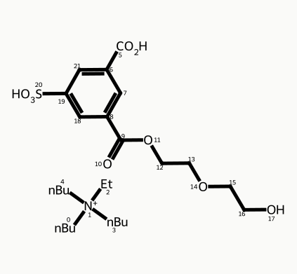 CCCC[N+](CC)(CCCC)CCCC.O=C(O)c1cc(C(=O)OCCOCCO)cc(S(=O)(=O)O)c1